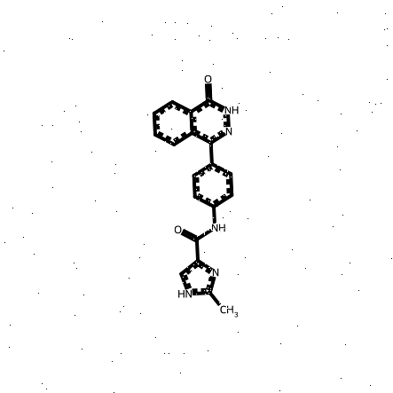 Cc1nc(C(=O)Nc2ccc(-c3n[nH]c(=O)c4ccccc34)cc2)c[nH]1